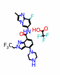 Cc1cn2cc(NC(=O)c3ccc(N4CCNCC4)c4cn(CC(F)(F)F)nc34)cc(F)c2n1.O=C(O)C(F)(F)F